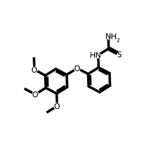 COc1cc(Oc2ccccc2NC(N)=S)cc(OC)c1OC